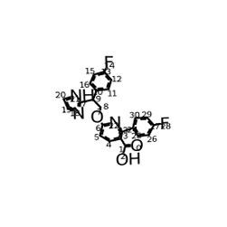 O=C(O)c1ccc(OCC(c2ccc(F)cc2)c2ncc[nH]2)nc1-c1ccc(F)cc1